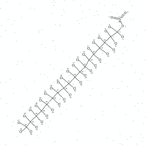 O=[SH](=O)OC(Cl)(Cl)C(Cl)(Cl)C(Cl)(Cl)C(Cl)(Cl)C(Cl)(Cl)C(Cl)(Cl)C(Cl)(Cl)C(Cl)(Cl)C(Cl)(Cl)C(Cl)(Cl)C(Cl)(Cl)C(Cl)(Cl)C(Cl)(Cl)C(Cl)(Cl)C(Cl)(Cl)C(Cl)(Cl)C(Cl)(Cl)C(Cl)(Cl)Cl